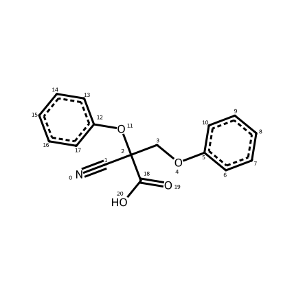 N#CC(COc1ccccc1)(Oc1ccccc1)C(=O)O